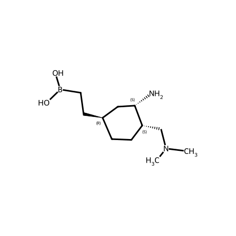 CN(C)C[C@@H]1CC[C@@H](CCB(O)O)C[C@@H]1N